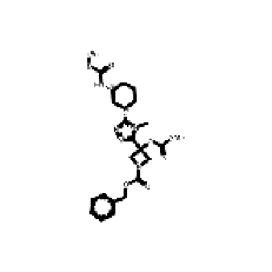 CSC(=S)OC1(c2nnc([C@H]3CCC[C@@H](NC(=O)OC(C)(C)C)C3)n2C)CN(C(=O)OCc2ccccc2)C1